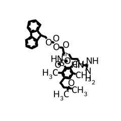 Cc1c(C)c(S(=O)(=O)N[C@@H](CCCNC(=N)N)C(=O)OC(=O)OCC2c3ccccc3-c3ccccc32)c(C)c2c1OC(C)(C)CC2